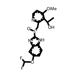 COc1ccnc(C[S+]([O-])c2nc3cc(OC(F)F)ccc3[nH]2)c1C(C)O